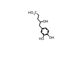 O=C(O)CCC(O)Cc1ccc(O)c(O)c1